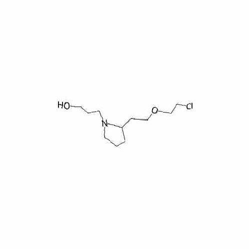 OCCCN1CCCC1CCOCCCl